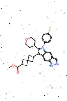 COC(=O)C1CC2(C1)CC(c1c(C3CCOCC3)n(-c3ccc(F)cc3)c3cc4cn[nH]c4cc13)C2